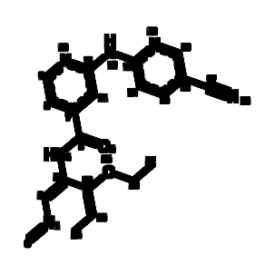 C=N/C=C(NC(=O)c1ccnc(Nc2ccc(C#N)cn2)c1)\C(=C/C)OCC